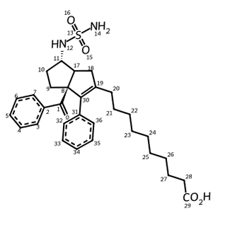 C=C(c1ccccc1)[C@@]12CC[C@H](NS(N)(=O)=O)C1CC(CCCCCCCCCC(=O)O)=C2c1ccccc1